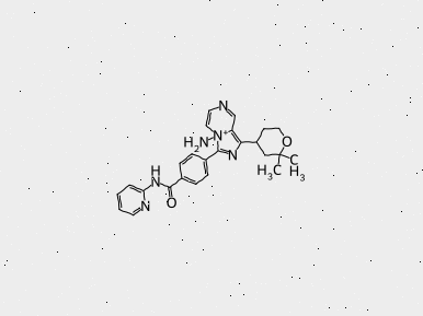 CC1(C)CC(C2=C3C=NC=C[N+]3(N)C(c3ccc(C(=O)Nc4ccccn4)cc3)=N2)CCO1